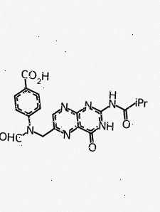 CC(C)C(=O)Nc1nc2ncc(CN(C=O)c3ccc(C(=O)O)cc3)nc2c(=O)[nH]1